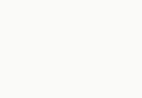 C=C[C@H](C)CC/C=C(\C)CCC=O